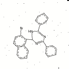 Brc1ccc2ccccc2c1C1N=C(c2ccccc2)N=C(c2ccccc2)N1